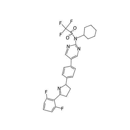 O=S(=O)(N(c1ncc(-c2ccc(C3CCC(c4c(F)cccc4F)=N3)cc2)cn1)C1CCCCC1)C(F)(F)F